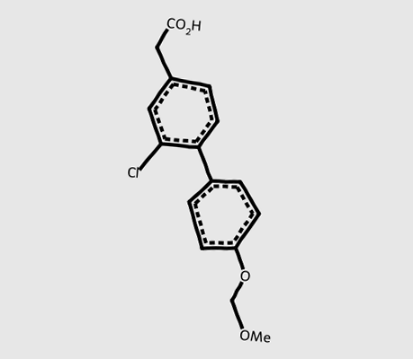 COCOc1ccc(-c2ccc(CC(=O)O)cc2Cl)cc1